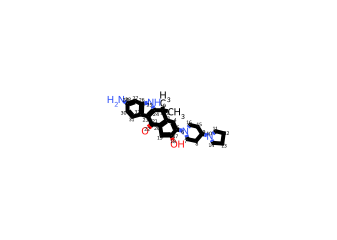 CC1(C)c2cc(N3CCC(N4CCCC4)CC3)c(O)cc2C(=O)c2c1[nH]c1cc(N)ccc21